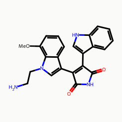 COc1cccc2c(C3=C(c4c[nH]c5ccccc45)C(=O)NC3=O)cn(CCN)c12